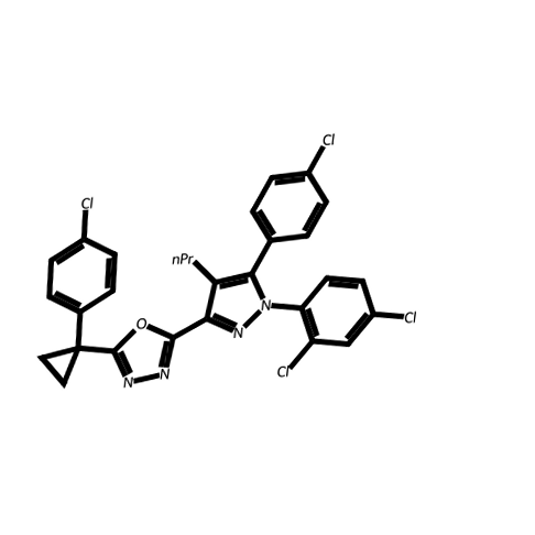 CCCc1c(-c2nnc(C3(c4ccc(Cl)cc4)CC3)o2)nn(-c2ccc(Cl)cc2Cl)c1-c1ccc(Cl)cc1